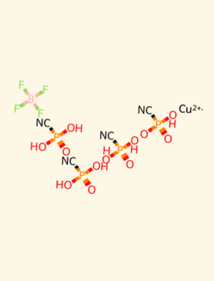 F[B-](F)(F)F.N#CP(=O)(O)O.N#CP(=O)(O)O.N#CP(=O)(O)O.N#CP(=O)([O-])O.[Cu+2]